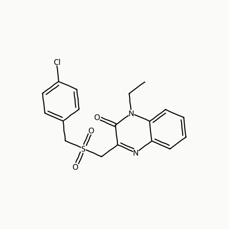 CCn1c(=O)c(CS(=O)(=O)Cc2ccc(Cl)cc2)nc2ccccc21